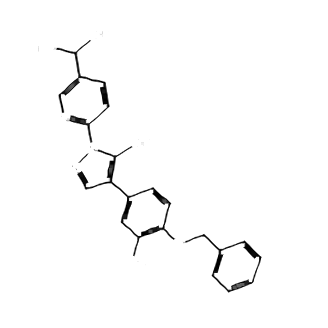 Cc1cc(-c2cnn(-c3ccc(C(O)O)cn3)c2O)ccc1OCc1ccccc1